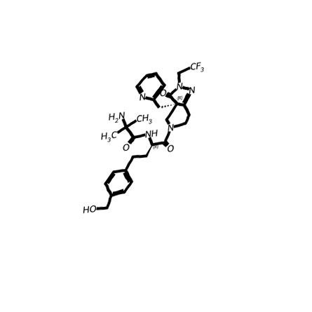 CC(C)(N)C(=O)N[C@H](CCc1ccc(CO)cc1)C(=O)N1CCC2=NN(CC(F)(F)F)C(=O)[C@]2(Cc2ccccn2)C1